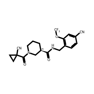 N#Cc1ccc(CNC(=O)[C@@H]2CCCN(C(=O)C3(C#N)CC3)C2)c(OC(F)(F)F)c1